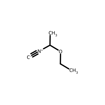 [C-]#[N+]C(C)OCC